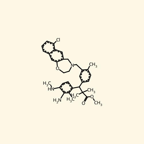 CNc1ccc(C(c2ccc(C)c(CN3CCOc4cc5cccc(Cl)c5cc4C3)c2)C(C)(C)C(=O)OC)c(C)c1N